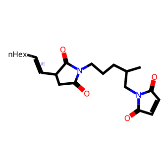 CCCCCC/C=C/C1CC(=O)N(CCCC(C)CN2C(=O)C=CC2=O)C1=O